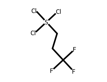 FC(F)(F)CCS(Cl)(Cl)Cl